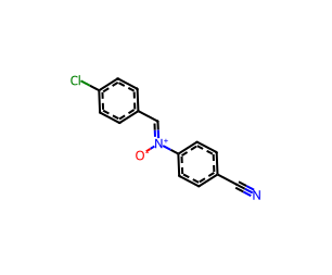 N#Cc1ccc([N+]([O-])=Cc2ccc(Cl)cc2)cc1